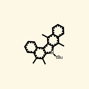 Cc1c(C)c2c(c3ccccc13)c1c(C)c3ccccc3c(C)c1n2C(C)(C)C